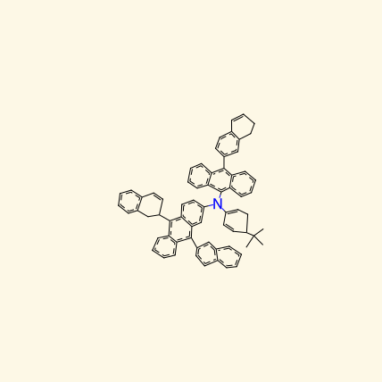 CC(C)(C)C1C=CC(N(c2ccc3c(C4C=Cc5ccccc5C4)c4ccccc4c(-c4ccc5ccccc5c4)c3c2)c2c3ccccc3c(-c3ccc4c(c3)CCC=C4)c3ccccc23)=CC1